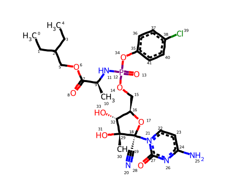 CCC(CC)COC(=O)[C@H](C)NP(=O)(OC[C@H]1O[C@@](C#N)(n2ccc(N)nc2=O)[C@](C)(O)[C@@H]1O)Oc1ccc(Cl)cc1